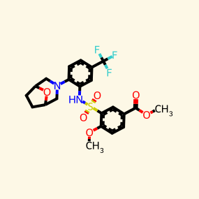 COC(=O)c1ccc(OC)c(S(=O)(=O)Nc2cc(C(F)(F)F)ccc2N2CC3CCC(C2)O3)c1